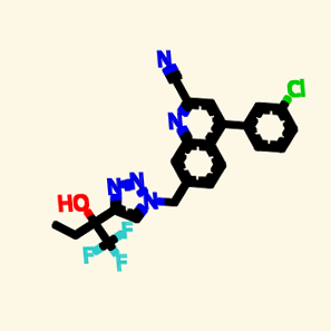 CCC(O)(c1cn(Cc2ccc3c(-c4cccc(Cl)c4)cc(C#N)nc3c2)nn1)C(F)(F)F